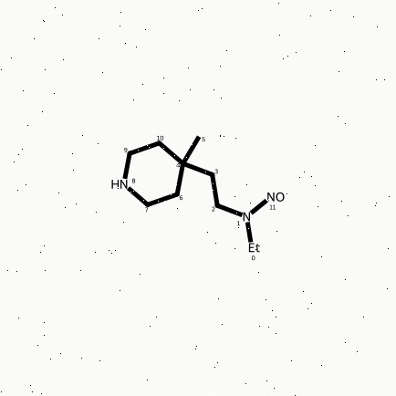 CCN(CCC1(C)CCNCC1)N=O